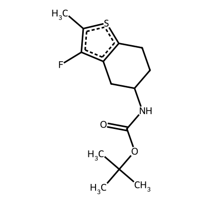 Cc1sc2c(c1F)CC(NC(=O)OC(C)(C)C)CC2